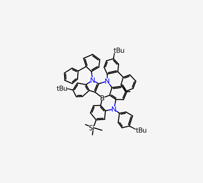 Cc1cc2c3c(c1)N(c1ccc(C(C)(C)C)cc1-c1ccccc1)c1c(c4ccc(C(C)(C)C)cc4n1-c1ccccc1-c1ccccc1)B3c1ccc([Si](C)(C)C)cc1N2c1ccc(C(C)(C)C)cc1